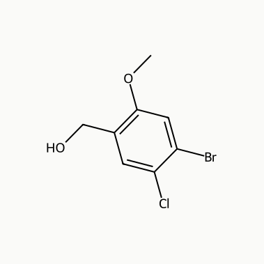 COc1cc(Br)c(Cl)cc1CO